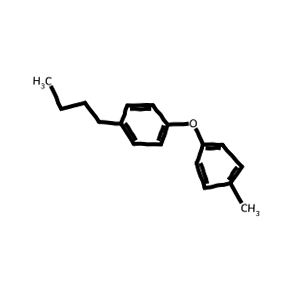 CCCCc1ccc(Oc2ccc(C)cc2)cc1